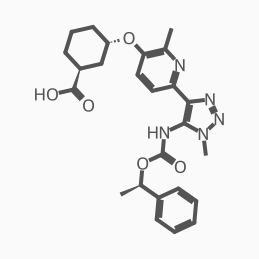 Cc1nc(-c2nnn(C)c2NC(=O)O[C@H](C)c2ccccc2)ccc1O[C@H]1CCC[C@H](C(=O)O)C1